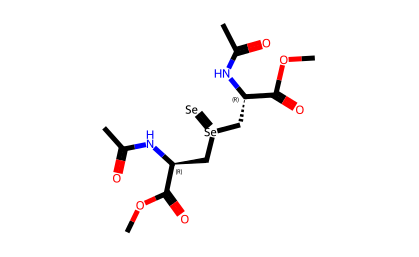 COC(=O)[C@H](C[Se](=[Se])C[C@H](NC(C)=O)C(=O)OC)NC(C)=O